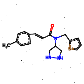 Cc1ccc(/C=C/C(=O)N(Cc2cccs2)C2CNNC2)cc1